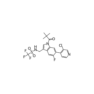 CC(C)(C)C(=O)n1cc(CNS(=O)(=O)C(F)(F)F)c2cc(F)c(-c3ccncc3Cl)cc21